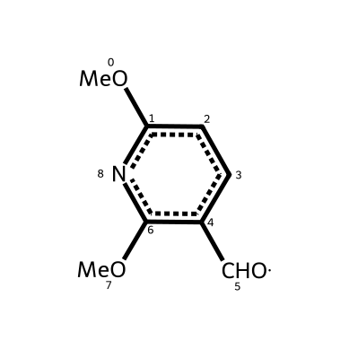 COc1ccc([C]=O)c(OC)n1